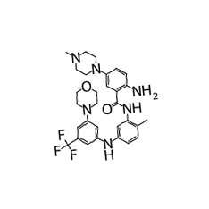 Cc1ccc(Nc2cc(N3CCOCC3)cc(C(F)(F)F)c2)cc1NC(=O)c1cc(N2CCN(C)CC2)ccc1N